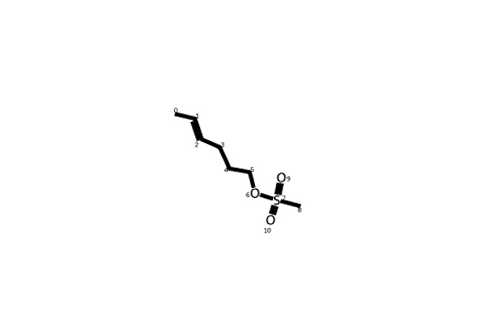 C/C=C/CCCOS(C)(=O)=O